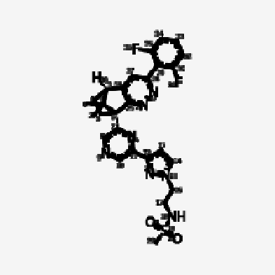 CC1(C)[C@H]2CC[C@]1(c1cncc(-c3ccn(CCNS(C)(=O)=O)n3)n1)c1nnc(-c3c(F)cccc3F)cc12